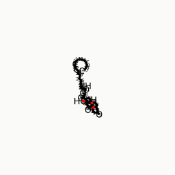 C[C@]12C=CC(=O)C=C1CC[C@H]1[C@@H]3CC[C@](O)(C(=O)COC(=O)CNCCCCCC4CCCCCCCCCCCC4)[C@@]3(C)C[C@H](O)[C@@]12F